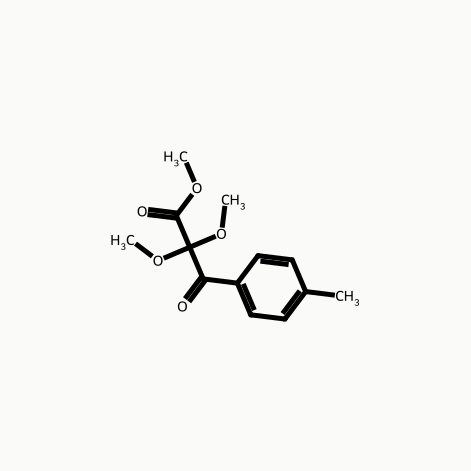 COC(=O)C(OC)(OC)C(=O)c1ccc(C)cc1